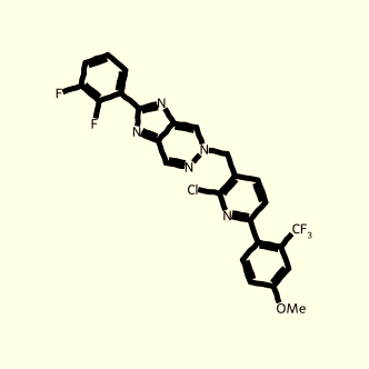 COc1ccc(-c2ccc(Cn3cc4nc(-c5cccc(F)c5F)nc-4cn3)c(Cl)n2)c(C(F)(F)F)c1